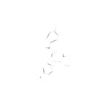 CCC(C(=O)O)n1c(=NC(=O)c2ccc(C)cc2)sc2cc(C(C)(C)C)ccc21